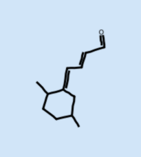 CC1CCC(C)C(=CC=CC=O)C1